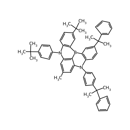 Cc1cc2c3c(c1)N(c1ccc(C(C)(C)c4ccccc4)cc1)c1ccc(C(C)(C)c4ccccc4)cc1B3c1cc(C(C)(C)C)ccc1N2c1ccc(C(C)(C)C)cc1